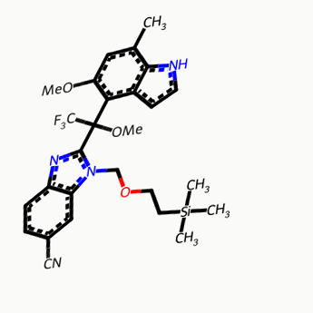 COc1cc(C)c2[nH]ccc2c1C(OC)(c1nc2ccc(C#N)cc2n1COCC[Si](C)(C)C)C(F)(F)F